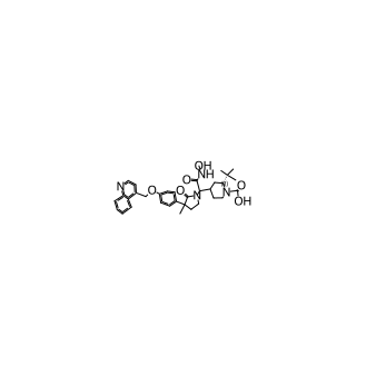 CC1(c2ccc(OCc3ccnc4ccccc34)cc2)CCN(C(C(=O)NO)C2CCN(C(=O)O)[C@@H](C(C)(C)C)C2)C1=O